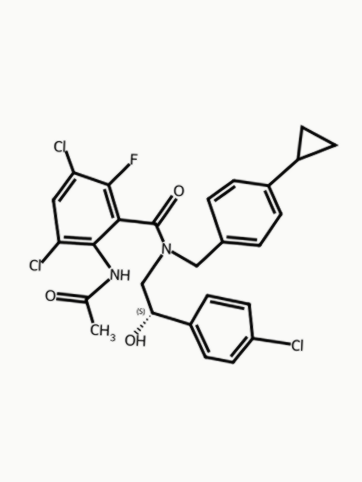 CC(=O)Nc1c(Cl)cc(Cl)c(F)c1C(=O)N(Cc1ccc(C2CC2)cc1)C[C@@H](O)c1ccc(Cl)cc1